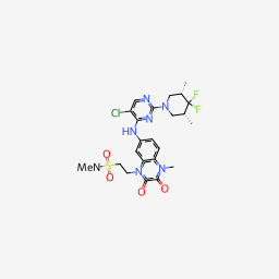 CNS(=O)(=O)CCn1c(=O)c(=O)n(C)c2ccc(Nc3nc(N4C[C@@H](C)C(F)(F)[C@@H](C)C4)ncc3Cl)cc21